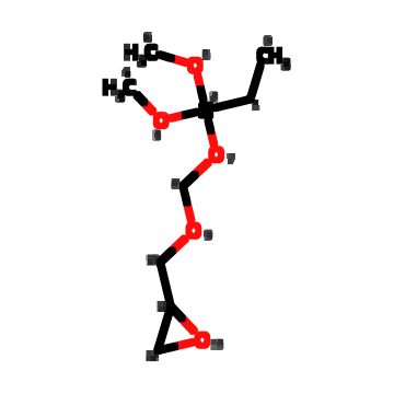 CC[Si](OC)(OC)OCOCC1CO1